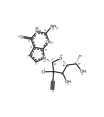 C#CC1(Cl)C(O)[C@@H]([C@H](C)O)O[C@H]1n1ccc2c(=O)[nH]c(N)nc21